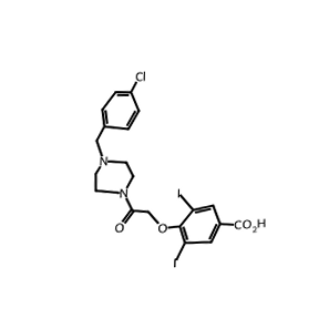 O=C(O)c1cc(I)c(OCC(=O)N2CCN(Cc3ccc(Cl)cc3)CC2)c(I)c1